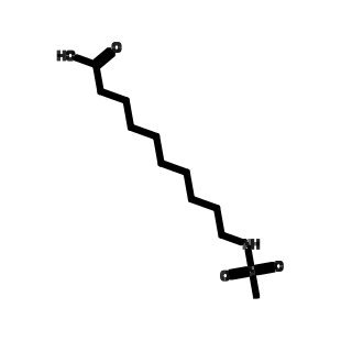 CS(=O)(=O)NCCCCCCCCCC(=O)O